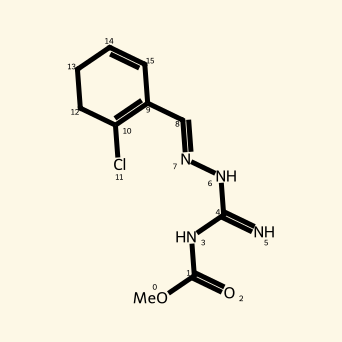 COC(=O)NC(=N)N/N=C/C1=C(Cl)CCC=C1